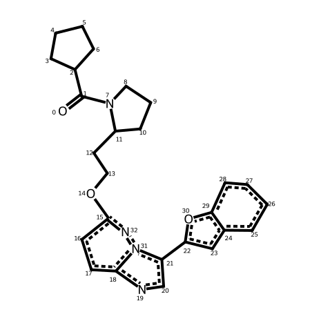 O=C(C1CCCC1)N1CCCC1CCOc1ccc2ncc(-c3cc4ccccc4o3)n2n1